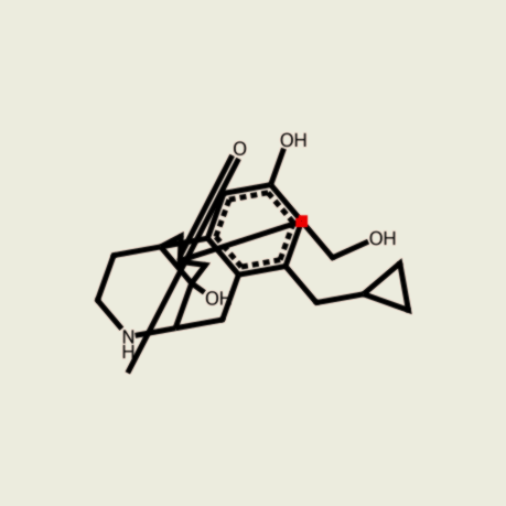 O=C1CC23CCNC(Cc4c(CC5CC5)cc(O)cc42)C3(O)CC1CCO